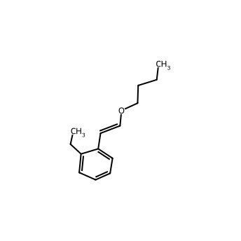 CCCCOC=Cc1ccccc1CC